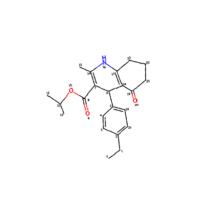 CCc1ccc(C2C(C(=O)OC(C)C)=C(C)NC3=C2C(=O)CCC3)cc1